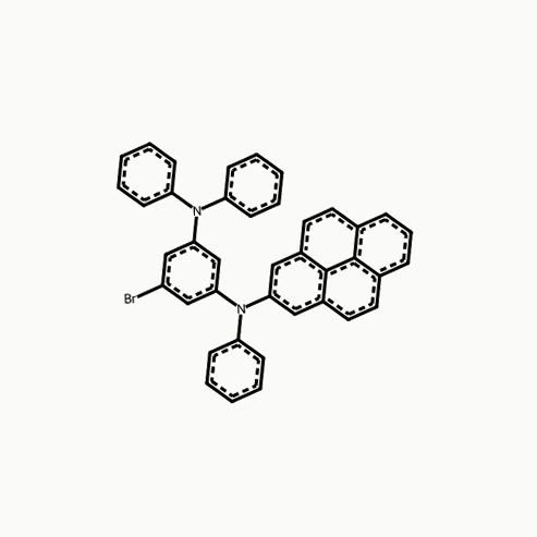 Brc1cc(N(c2ccccc2)c2ccccc2)cc(N(c2ccccc2)c2cc3ccc4cccc5ccc(c2)c3c45)c1